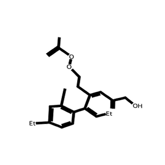 C=C(/C=C(CCOOC(=C)C)\C(=C/CC)c1ccc(CC)cc1C)CO